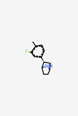 Cc1ccc([C@H]2CC3CCC2N3)cc1F